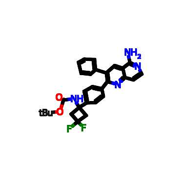 CC(C)(C)OC(=O)NC1(c2ccc(-c3nc4ccnc(N)c4cc3-c3ccccc3)cc2)CC(F)(F)C1